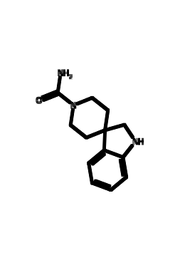 NC(=O)N1CCC2(CC1)CNc1ccccc12